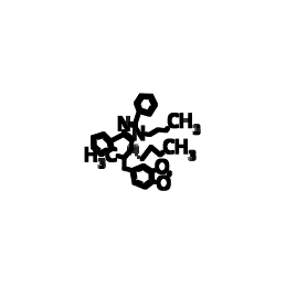 CCCC[C@@H](c1c(-c2ccccc2)nc(-c2ccccc2)n1CCCC)C(C)Cc1ccc2c(c1)OCO2